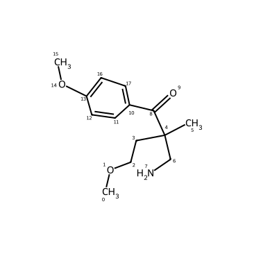 COCCC(C)(CN)C(=O)c1ccc(OC)cc1